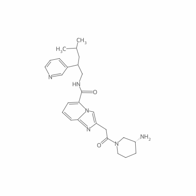 CC(C)CC(CNC(=O)c1cccc2nc(CC(=O)N3CCC[C@@H](N)C3)cn12)c1cccnc1